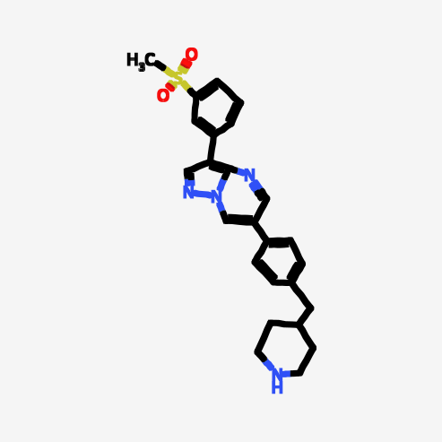 CS(=O)(=O)c1cccc(-c2cnn3cc(-c4ccc(CC5CCNCC5)cc4)cnc23)c1